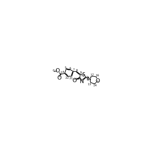 COC(=O)c1ccc(/C=C2/SC(N3CCOCC3)=NC2=O)cc1